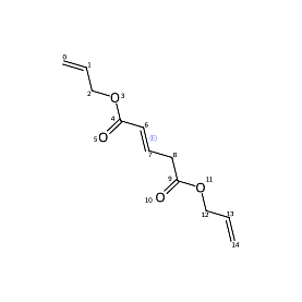 C=CCOC(=O)/C=C/CC(=O)OCC=C